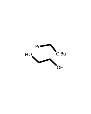 CC(C)COCC(C)C.OCCO